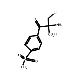 CS(=O)(=O)c1ccc(C(=O)C(N)(CCl)C(=O)O)cc1